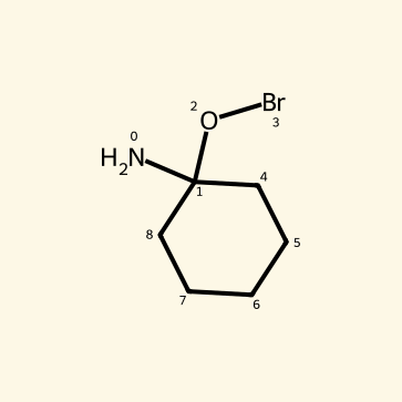 NC1(OBr)CCCCC1